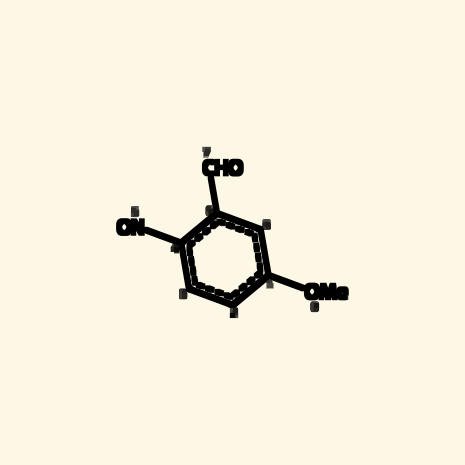 COc1ccc(N=O)c(C=O)c1